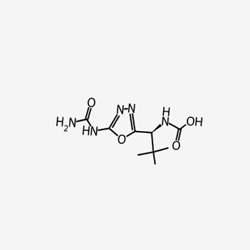 CC(C)(C)[C@H](NC(=O)O)c1nnc(NC(N)=O)o1